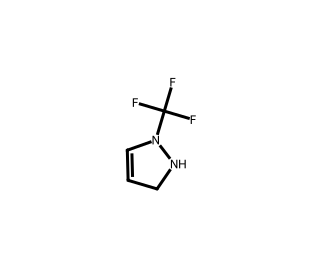 FC(F)(F)N1C=CCN1